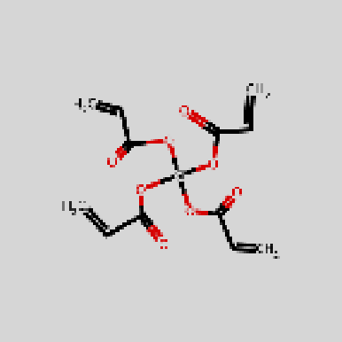 C=CC(=O)O[Si](OC(=O)C=C)(OC(=O)C=C)OC(=O)C=C